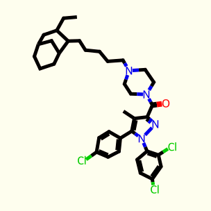 CCC1CC2CCCC(C2)C1CCCCCN1CCN(C(=O)c2nn(-c3ccc(Cl)cc3Cl)c(-c3ccc(Cl)cc3)c2C)CC1